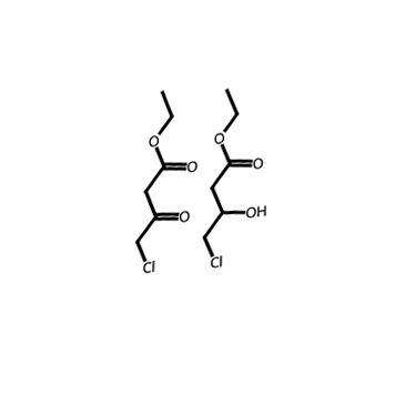 CCOC(=O)CC(=O)CCl.CCOC(=O)CC(O)CCl